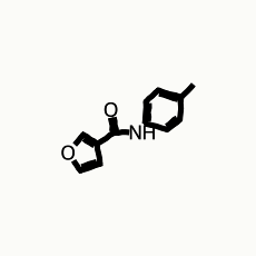 Cc1ccc(NC(=O)c2ccoc2)cc1